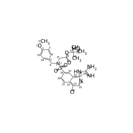 COc1ccc(CN(CC(=O)OC(C)(C)C)S(=O)(=O)c2ccc3c(Cl)cnc(NC(=N)N)c3c2)cc1.Cl